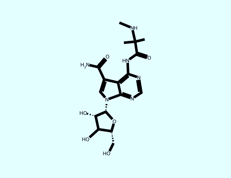 CNC(C)(C)C(=O)Nc1ncnc2c1c(C(N)=O)cn2[C@@H]1O[C@H](CO)C(O)[C@@H]1O